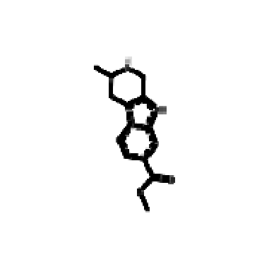 COC(=O)c1ccc2c3c([nH]c2c1)CNC(C)C3